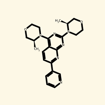 C[C@H]1COCCN1c1nc(N2CCOC[C@@H]2C)c2ccc(-c3cccnc3)nc2n1